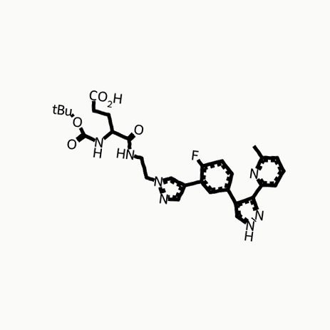 Cc1cccc(-c2n[nH]cc2-c2ccc(F)c(-c3cnn(CCNC(=O)C(CCC(=O)O)NC(=O)OC(C)(C)C)c3)c2)n1